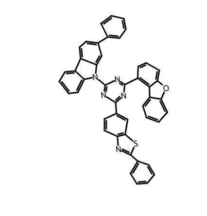 c1ccc(-c2ccc3c4ccccc4n(-c4nc(-c5ccc6nc(-c7ccccc7)sc6c5)nc(-c5cccc6oc7ccccc7c56)n4)c3c2)cc1